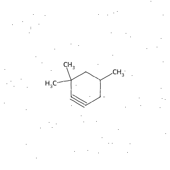 CC1CC#CC(C)(C)C1